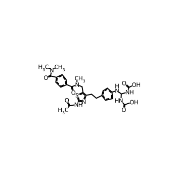 CC(=O)Nc1nc(CCc2ccc(NC(NC(=O)O)NC(=O)O)cc2)c(CN(C)C(=O)c2ccc(C(=O)N(C)C)cc2)s1